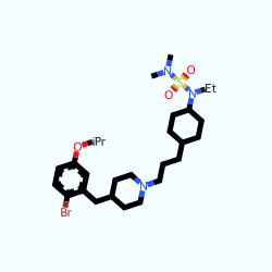 CCN(C1CCC(CCCN2CCC(Cc3cc(OC(C)C)ccc3Br)CC2)CC1)S(=O)(=O)N(C)C